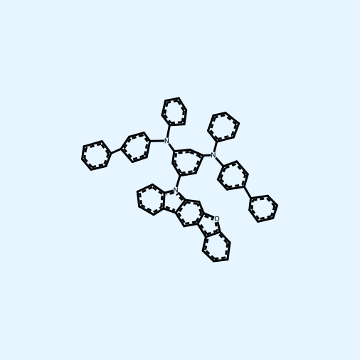 c1ccc(-c2ccc(N(c3ccccc3)c3cc(N(c4ccccc4)c4ccc(-c5ccccc5)cc4)cc(-n4c5ccccc5c5cc6c(cc54)oc4ccccc46)c3)cc2)cc1